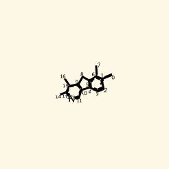 Cc1ccc2c(c1C)Cc1c-2cnc(C)c1C